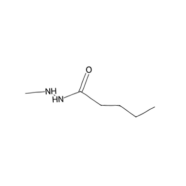 CCCCC(=O)NNC